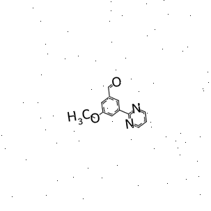 COc1cc(C=O)cc(-c2ncccn2)c1